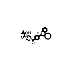 O=C(c1ccc(C2CC3(CCCCCCC3)c3ccccc3N2)cc1)N1CCN(C(=O)C2(O)CC2)CC1